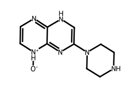 [O-][NH+]1C=CN=C2NC=C(N3CCNCC3)N=C21